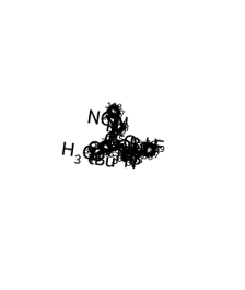 CC(C)(C)[Si](C)(C)Oc1ccc(OCc2ccnc(-c3ccccc3C#N)n2)c(CC(Oc2ncnc3sc(-c4ccc(F)cc4)c(Br)c23)C(=O)O)c1